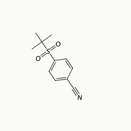 CC(C)(C)S(=O)(=O)c1ccc(C#N)cc1